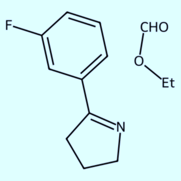 CCOC=O.Fc1cccc(C2=NCCC2)c1